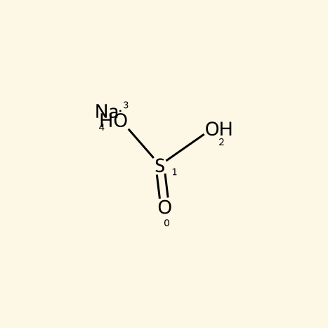 O=S(O)O.[Na]